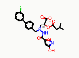 CC(C)CC(=O)O[C@H](CN(Cc1ccc(-c2cccc(Cl)c2)cc1)NC(=O)c1cc(O)no1)C(=O)O